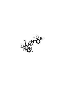 Cc1ccc2c(n1)c(N1CCN(Cc3cccc(Br)c3O)CC1)c(C#N)c(=O)n2C